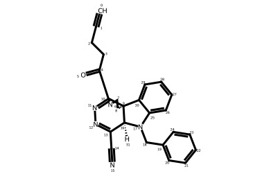 C#CCCC(=O)N1CC[C@@]23C1=NN=C(C#N)[C@@H]2N(Cc1ccccc1)c1ccccc13